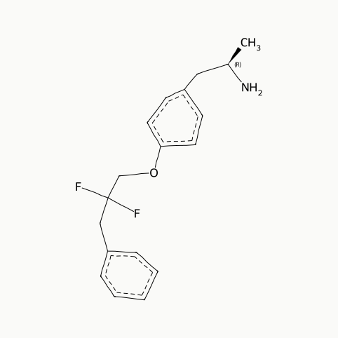 C[C@@H](N)Cc1ccc(OCC(F)(F)Cc2ccccc2)cc1